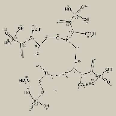 C=C(C(C(=O)O)N1CCN(C(C(=C)P(=O)(O)O)C(=O)O)CCN(C(C(=C)P(=O)(O)O)C(=O)O)CCN(C(C(=C)P(=O)(O)O)C(=O)O)CC1)P(=O)(O)O